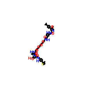 COc1cnc(C(=O)NCc2cccc(CC(=O)NCCOCCOCCOCCOCC(=O)N[C@H](C(=O)N3C[C@H](O)C[C@H]3C(=O)NCc3ccc(-c4sccc4C)cc3)C(C)(C)C)c2)cc1-c1ccc(C2CC2)cc1